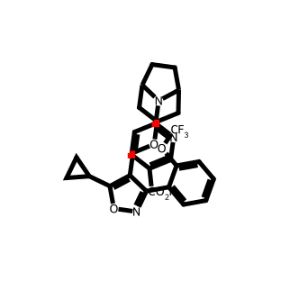 O=C(O)c1ccc(N2C3CCC2CC(OCc2c(-c4ccccc4OC(F)(F)F)noc2C2CC2)C3)nc1